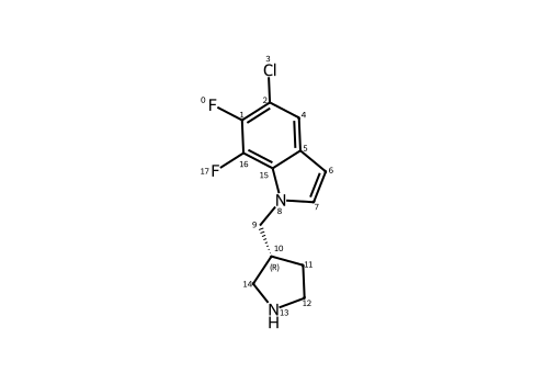 Fc1c(Cl)cc2ccn(C[C@@H]3CCNC3)c2c1F